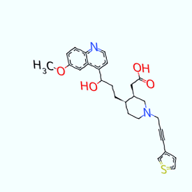 COc1ccc2nccc(C(O)CC[C@@H]3CCN(CC#Cc4ccsc4)C[C@@H]3CC(=O)O)c2c1